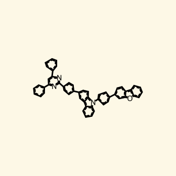 c1ccc(-c2cc(-c3ccccc3)nc(-c3ccc(-c4ccc5c(c4)c4ccccc4n5-c4ccc(-c5ccc6c(c5)oc5ccccc56)cc4)cc3)n2)cc1